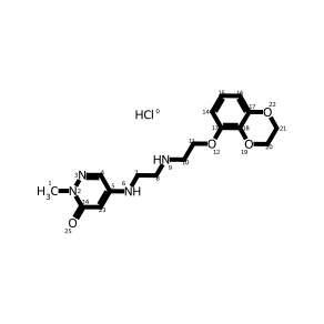 Cl.Cn1ncc(NCCNCCOc2cccc3c2OCCO3)cc1=O